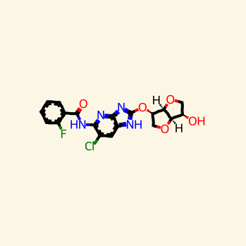 O=C(Nc1nc2nc(O[C@@H]3CO[C@H]4[C@@H]3OC[C@H]4O)[nH]c2cc1Cl)c1ccccc1F